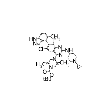 Cc1ccc2[nH]ncc2c1-c1c(Cl)cc2c(N3C[C@H](C)N(C(=O)OC(C)(C)C)C[C@@H]3C)nc(NC3CCN(C4CC4)CC3)nc2c1F